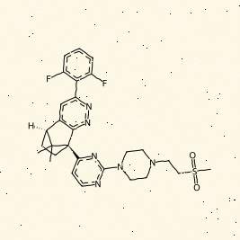 CC1(C)[C@H]2CC[C@@]1(c1ccnc(N3CCN(CCS(C)(=O)=O)CC3)n1)c1nnc(-c3c(F)cccc3F)cc12